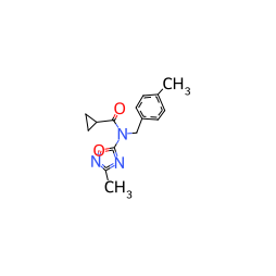 Cc1ccc(CN(C(=O)C2CC2)c2nc(C)no2)cc1